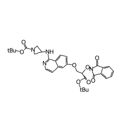 CC(C)(C)OC(=O)C(COc1ccc2c(NC3CN(C(=O)OC(C)(C)C)C3)nccc2c1)ON1C(=O)c2ccccc2C1=O